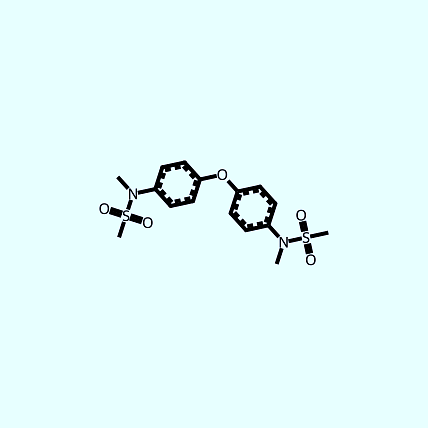 CN(c1ccc(Oc2ccc(N(C)S(C)(=O)=O)cc2)cc1)S(C)(=O)=O